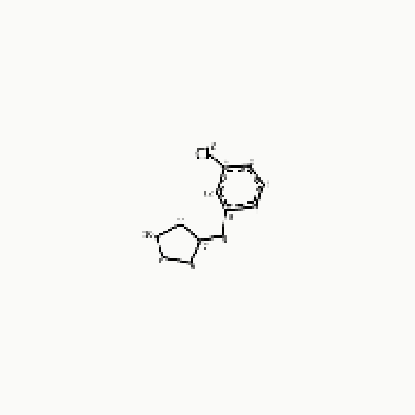 Clc1cccc(C[C]2CCCC2)c1